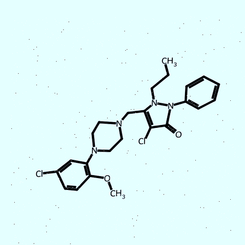 CCCn1c(CN2CCN(c3cc(Cl)ccc3OC)CC2)c(Cl)c(=O)n1-c1ccccc1